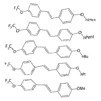 CCCCCCOc1ccc(C=Cc2ccc(OC(F)(F)F)cc2)cc1.CCCCCOc1ccc(C=Cc2ccc(OC(F)(F)F)cc2)cc1.CCCCOc1ccc(C=Cc2ccc(OC(F)(F)F)cc2)cc1.CCCOc1ccc(C=Cc2ccc(OC(F)(F)F)cc2)cc1.COc1ccc(C=Cc2ccc(OC(F)(F)F)cc2)cc1